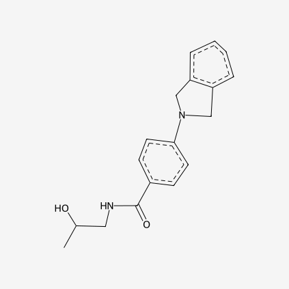 CC(O)CNC(=O)c1ccc(N2Cc3ccccc3C2)cc1